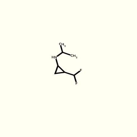 CC(C)NC1CC1C(F)F